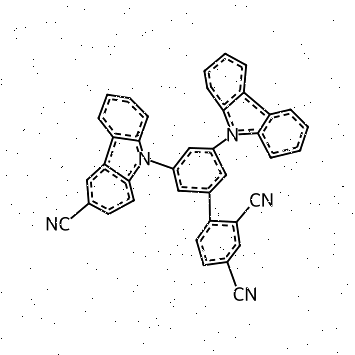 N#Cc1ccc(-c2cc(-n3c4ccccc4c4ccccc43)cc(-n3c4ccccc4c4cc(C#N)ccc43)c2)c(C#N)c1